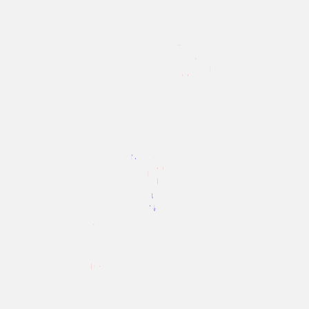 C=CCN1CC[C@]23c4c5ccc(O)c4OC2CCC(N(C)C(=O)/C=C/c2cccc(OC(F)(F)F)c2)[C@@]3(O)[C@H]1C5